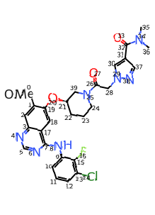 COc1cc2ncnc(Nc3cccc(Cl)c3F)c2cc1O[C@@H]1CCCN(C(=O)Cn2cc(C(=O)N(C)C)cn2)C1